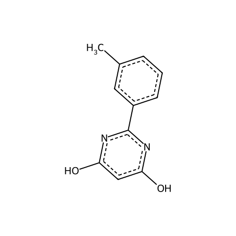 Cc1cccc(-c2nc(O)cc(O)n2)c1